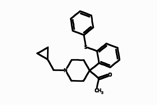 CC(=O)C1(c2ccccc2Sc2ccccc2)CCN(CC2CC2)CC1